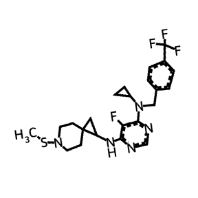 CSN1CCC2(CC1)CC2Nc1ncnc(N(Cc2ccc(C(F)(F)F)cc2)C2CC2)c1F